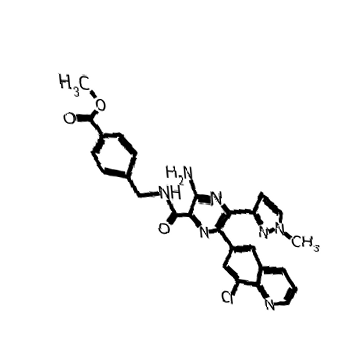 COC(=O)c1ccc(CNC(=O)c2nc(-c3cc(Cl)c4ncccc4c3)c(-c3ccn(C)n3)nc2N)cc1